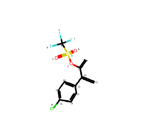 C=C(OS(=O)(=O)C(F)(F)F)C(=C)c1ccc(Cl)cc1